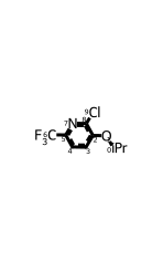 CC(C)Oc1ccc(C(F)(F)F)nc1Cl